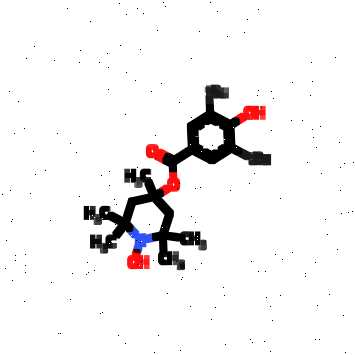 CC1(OC(=O)c2cc(C(C)(C)C)c(O)c(C(C)(C)C)c2)CC(C)(C)N(O)C(C)(C)C1